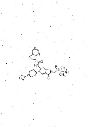 CC(C)(O)[C@H](F)CN1Cc2cc(NC(=O)c3csc4cncnc34)c(N3CCN(C4COC4)CC3)cc2C1=O